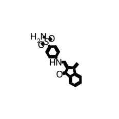 C=C1C(=CNc2ccc(S(N)(=O)=O)cc2)C(=O)c2ccccc21